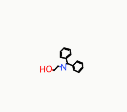 OCCN=C(c1ccccc1)c1ccccc1